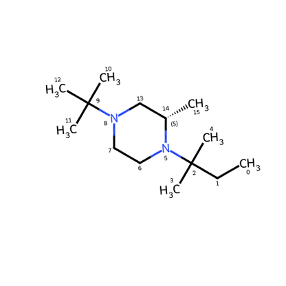 CCC(C)(C)N1CCN(C(C)(C)C)C[C@@H]1C